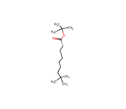 CC(C)(C)CCCCCCC(=O)OC(C)(C)C